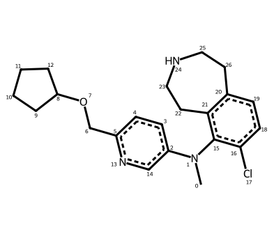 CN(c1ccc(COC2CCCC2)nc1)c1c(Cl)ccc2c1CCNCC2